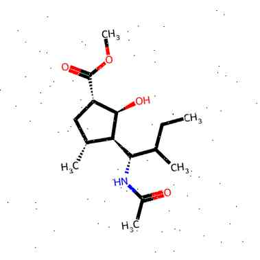 CCC(C)[C@H](NC(C)=O)[C@@H]1[C@H](O)[C@@H](C(=O)OC)C[C@H]1C